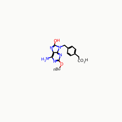 CCCCOc1nc(N)c2nc(O)n(Cc3ccc(CC(=O)O)cc3)c2n1